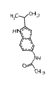 CC(=O)Nc1ccc2[nH]c(C(C)C)cc2c1